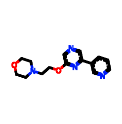 c1cncc(-c2cncc(OCCN3CCOCC3)n2)c1